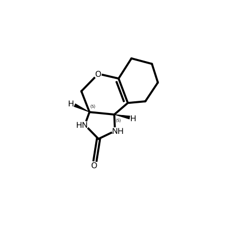 O=C1N[C@@H]2COC3=C(CCCC3)[C@@H]2N1